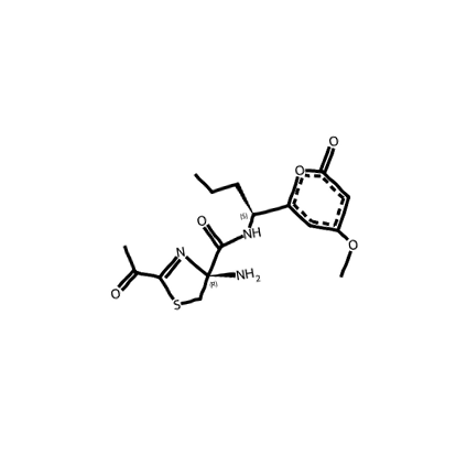 CCC[C@H](NC(=O)[C@]1(N)CSC(C(C)=O)=N1)c1cc(OC)cc(=O)o1